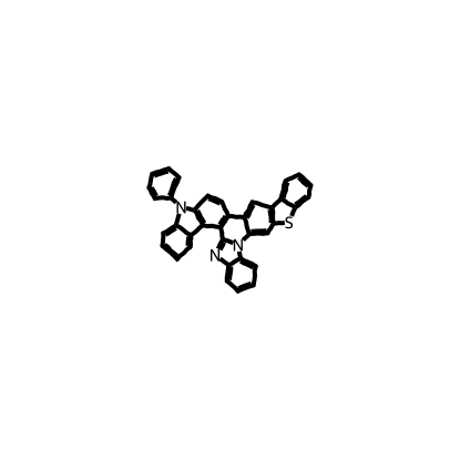 c1ccc(-n2c3ccccc3c3c4c(ccc32)c2cc3c(cc2n2c5ccccc5nc42)sc2ccccc23)cc1